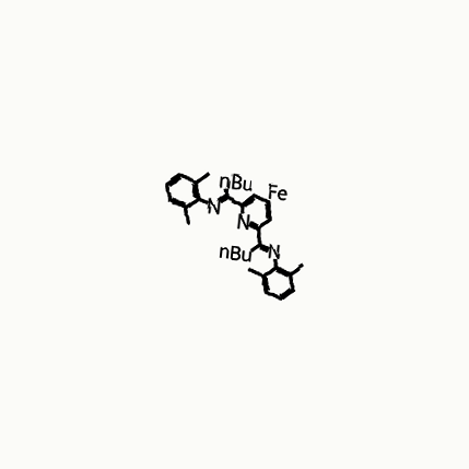 CCCCC(=Nc1c(C)cccc1C)c1cccc(C(CCCC)=Nc2c(C)cccc2C)n1.[Fe]